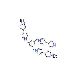 CC[n+]1ccc(-c2cc[n+](Cc3cc(C[n+]4ccc(-c5ccncc5)cc4)cc(C[n+]4ccc(-c5cc[n+](CC)cc5)cc4)c3)cc2)cc1